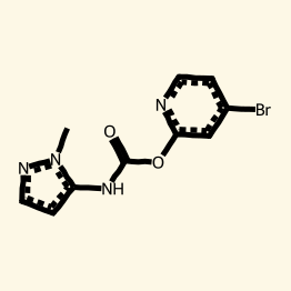 Cn1nccc1NC(=O)Oc1cc(Br)ccn1